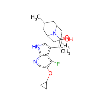 CC1CC2CC(C)(O)CC(C1)N2C(=O)C(C)c1c[nH]c2ncc(OC3CC3)c(F)c12